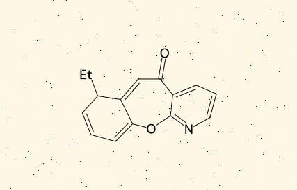 CCC1C=CC=C2Oc3ncccc3C(=O)C=C21